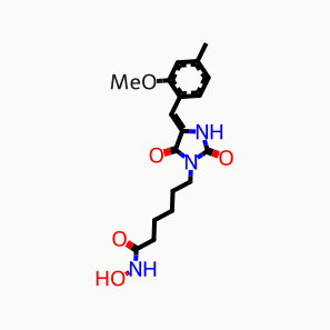 COc1cc(C)ccc1/C=C1\NC(=O)N(CCCCCC(=O)NO)C1=O